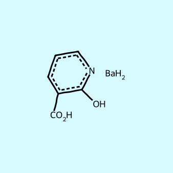 O=C(O)c1cccnc1O.[BaH2]